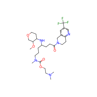 COC1COCCC1NC(CCCN(C)C(=O)OCCN(C)C)CCC(=O)N1CCc2ncc(C(F)(F)F)cc2C1